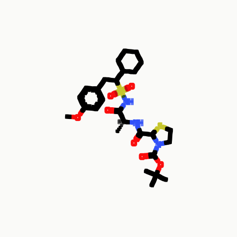 COc1ccc(CC(C2CCCCC2)S(=O)(=O)NC(=O)[C@@H](C)NC(=O)C2SCCN2C(=O)OC(C)(C)C)cc1